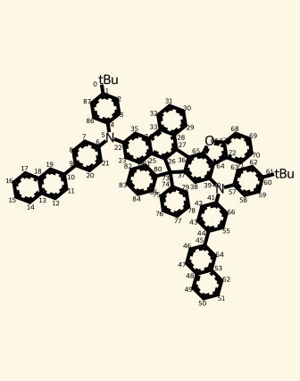 CC(C)(C)c1ccc(N(c2ccc(-c3ccc4ccccc4c3)cc2)c2ccc3c4c(c5ccccc5c3c2)-c2c(cc(N(c3ccc(-c5ccc6ccccc6c5)cc3)c3ccc(C(C)(C)C)cc3)c3c2oc2ccccc23)C4(c2ccccc2)c2ccccc2)cc1